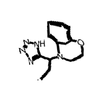 [CH2]CC(c1nnn[nH]1)N1CCOc2ccccc21